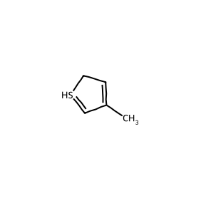 CC1=CC[SH]=C1